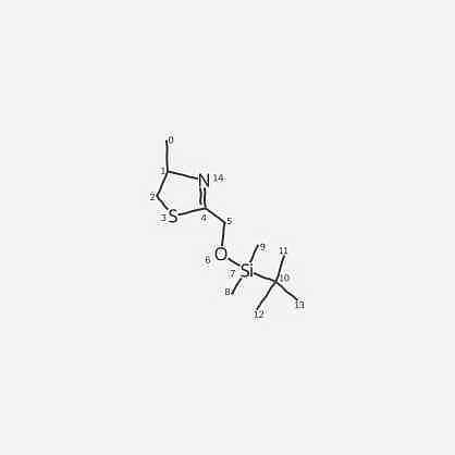 CC1CSC(CO[Si](C)(C)C(C)(C)C)=N1